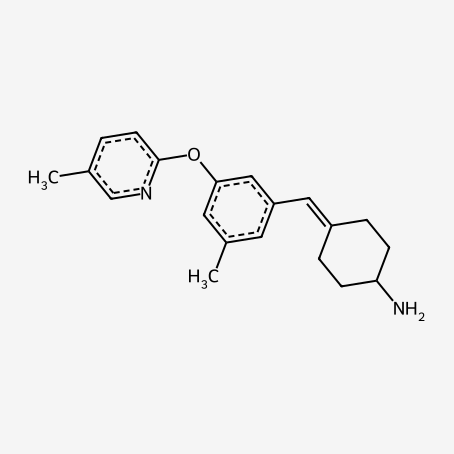 Cc1ccc(Oc2cc(C)cc(C=C3CCC(N)CC3)c2)nc1